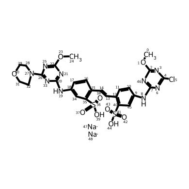 COc1nc(Cl)nc(Nc2ccc(C=Cc3ccc(Nc4nc(OC)nc(N5CCOCC5)n4)cc3S(=O)(=O)O)c(S(=O)(=O)O)c2)n1.[Na].[Na]